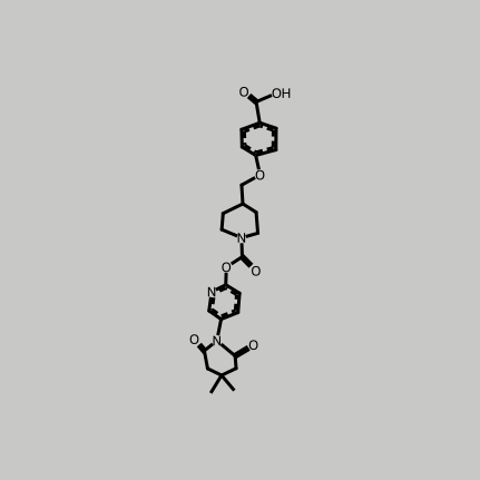 CC1(C)CC(=O)N(c2ccc(OC(=O)N3CCC(COc4ccc(C(=O)O)cc4)CC3)nc2)C(=O)C1